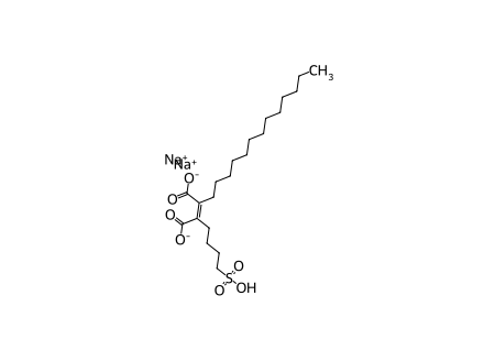 CCCCCCCCCCCCC/C(C(=O)[O-])=C(\CCCCS(=O)(=O)O)C(=O)[O-].[Na+].[Na+]